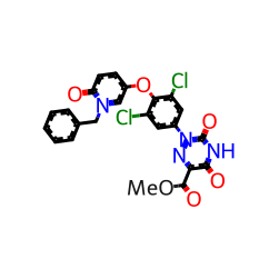 COC(=O)c1nn(-c2cc(Cl)c(Oc3ccc(=O)n(Cc4ccccc4)c3)c(Cl)c2)c(=O)[nH]c1=O